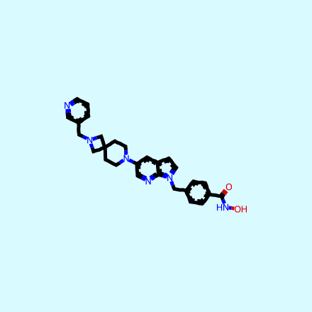 O=C(NO)c1ccc(Cn2ccc3cc(N4CCC5(CC4)CN(Cc4cccnc4)C5)cnc32)cc1